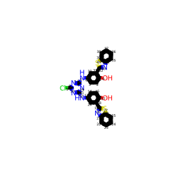 Oc1ccc(Nc2nc(Cl)nc(Nc3ccc(O)c(-c4nc5ccccc5s4)c3)n2)cc1-c1nc2ccccc2s1